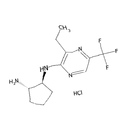 CCc1nc(C(F)(F)F)cnc1N[C@H]1CCC[C@@H]1N.Cl